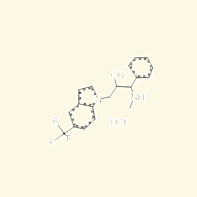 CNC(c1ccccc1)C(O)Cn1ccc2cc(C(F)(F)F)ccc21.Cl